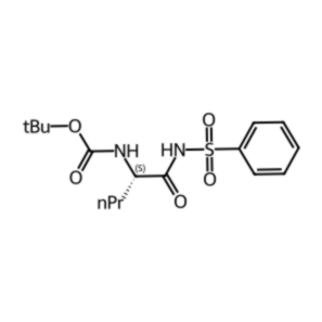 CCC[C@H](NC(=O)OC(C)(C)C)C(=O)NS(=O)(=O)c1ccccc1